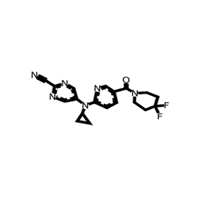 N#Cc1ncc(N(c2ccc(C(=O)N3CCC(F)(F)CC3)cn2)C2CC2)cn1